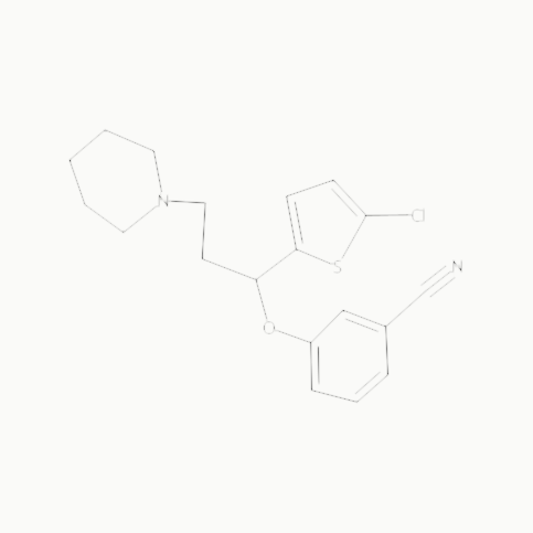 N#Cc1cccc(OC(CCN2CCCCC2)c2ccc(Cl)s2)c1